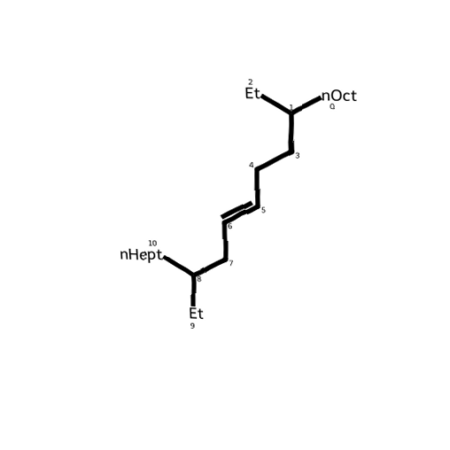 [CH2]CCCCCCCC(CC)CCC=CCC(CC)CCCCCC[CH2]